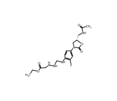 CCOC(=O)CNNCNc1ccc(N2C[C@H](CNC(C)=O)OC2=O)cc1F